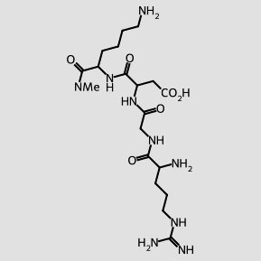 CNC(=O)C(CCCCN)NC(=O)C(CC(=O)O)NC(=O)CNC(=O)C(N)CCCNC(=N)N